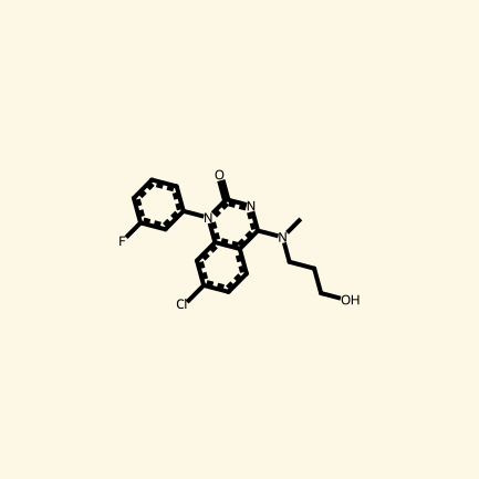 CN(CCCO)c1nc(=O)n(-c2cccc(F)c2)c2cc(Cl)ccc12